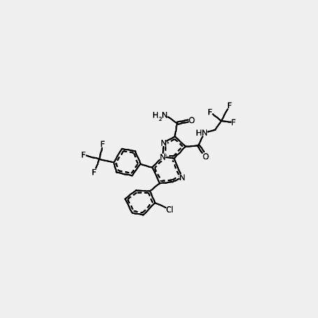 NC(=O)c1nn2c(-c3ccc(C(F)(F)F)cc3)c(-c3ccccc3Cl)cnc2c1C(=O)NCC(F)(F)F